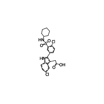 O=C(O)Cc1c(-c2ccc(Cl)c(S(=O)(=O)NC3CCCCC3)c2)[nH]c2ccc(Cl)cc12